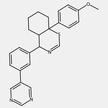 COc1ccc(C23CCCCC2C(c2cccc(-c4cncnc4)c2)N=CS3)cc1